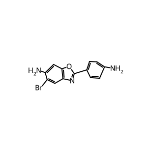 Nc1ccc(-c2nc3cc(Br)c(N)cc3o2)cc1